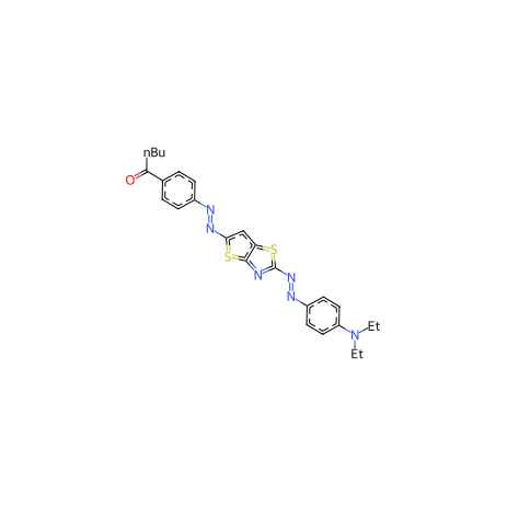 CCCCC(=O)c1ccc(N=Nc2cc3sc(N=Nc4ccc(N(CC)CC)cc4)nc3s2)cc1